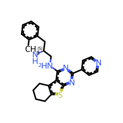 Cc1ccccc1C[C@H](N)CNc1nc(-c2ccncc2)nc2sc3c(c12)CCCC3